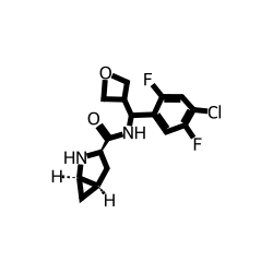 O=C(NC(c1cc(F)c(Cl)cc1F)C1COC1)[C@H]1C[C@H]2C[C@H]2N1